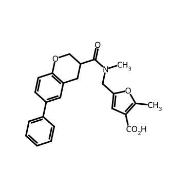 Cc1oc(CN(C)C(=O)C2COc3ccc(-c4ccccc4)cc3C2)cc1C(=O)O